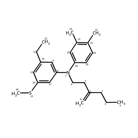 C=C(CCC)CCN(c1cc(CC)cc(SC)c1)c1ccc(C)c(C)c1